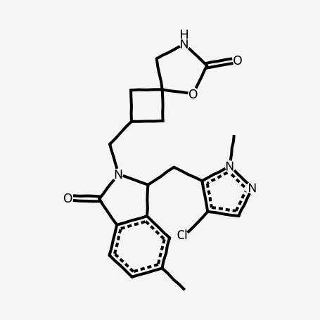 Cc1ccc2c(c1)C(Cc1c(Cl)cnn1C)N(CC1CC3(CNC(=O)O3)C1)C2=O